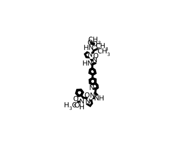 COC(=O)N[C@H](C(=O)N1CCC[C@H]1c1ncc(-c2ccc(-c3ccc4nc(-c5c[nH]c([C@@H]6CCCN6C(=O)[C@H](NC(=O)OC)c6ccccc6)n5)ccc4c3)cc2)[nH]1)C(C)C